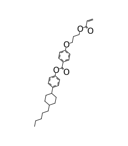 C=CC(=O)OCCCOc1ccc(C(=O)Oc2ccc(C3CCC(CCCCC)CC3)cc2)cc1